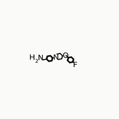 NCc1ccc(N2CCC(Oc3ccc(F)cc3)CC2)cc1